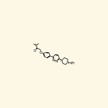 CC(C)N1CCN(c2ccc(-c3ccc(OCC(=O)N(C)C)cc3)nn2)CC1